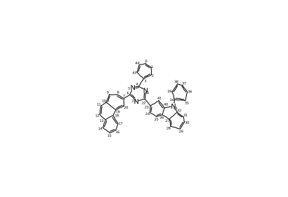 c1ccc(-c2nc(-c3ccc4ccc5ccccc5c4c3)nc(-c3ccc4c5ccccc5n(-c5ccccc5)c4c3)n2)cc1